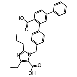 CCCc1nc(CC)c(C(=O)O)n1Cc1ccc(-c2cc(-c3ccccc3)ccc2C(=O)O)cc1